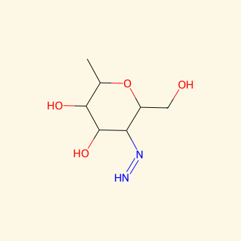 CC1OC(CO)C(N=N)C(O)C1O